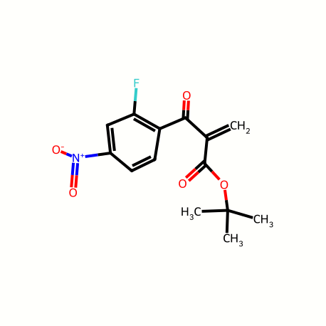 C=C(C(=O)OC(C)(C)C)C(=O)c1ccc([N+](=O)[O-])cc1F